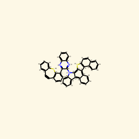 C1#Cc2cccc(-c3nc4ccccc4nc3-n3c4ccccc4c4c5ccccc5c5c(sc6ccc7ccccc7c65)c43)c2Sc2ccccc21